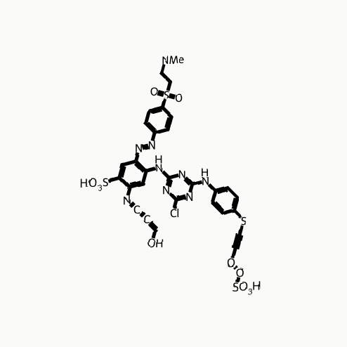 CNCCS(=O)(=O)c1ccc(N=Nc2cc(S(=O)(=O)O)c(N=C=C=CO)cc2Nc2nc(Cl)nc(Nc3ccc(SC#COOS(=O)(=O)O)cc3)n2)cc1